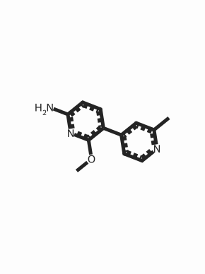 COc1nc(N)ccc1-c1ccnc(C)c1